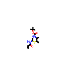 C=CC(=O)NC(=C)SC(=C)C(C)NC(=O)OC(C)(C)C